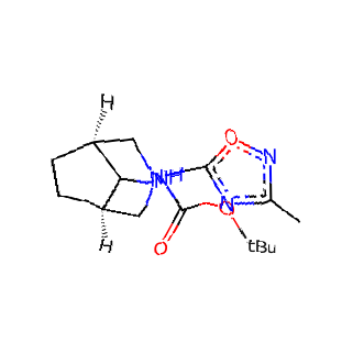 Cc1noc(N2C[C@H]3CC[C@@H](C2)C3NC(=O)OC(C)(C)C)n1